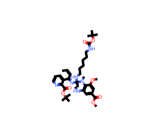 C/C=C\C(=N/C(C)(NCCCCCCNC(=O)OC(C)(C)C)N(C)c1c(NC)cc(C(=O)OC)cc1OC)c1cccnc1C(=O)OC(C)(C)C